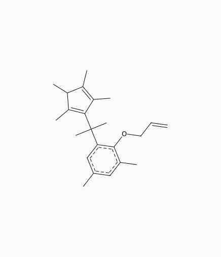 C=CCOc1c(C)cc(C)cc1C(C)(C)C1=C(C)C(C)C(C)=C1C